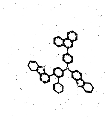 C1=CC(c2cc(N(c3ccc(-c4cc5ccccc5c5ccccc45)cc3)c3ccc4c5c(sc4c3)C=CCC5)ccc2-c2cccc3c4c(oc23)C=CCC4)CCC1